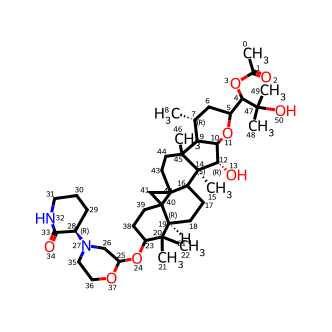 CC(=O)OC(C1C[C@@H](C)C2C(O1)[C@H](O)[C@@]1(C)C3CC[C@H]4C(C)(C)C(OC5CN([C@@H]6CCCNC6=O)CCO5)CCC45CC35CCC21C)C(C)(C)O